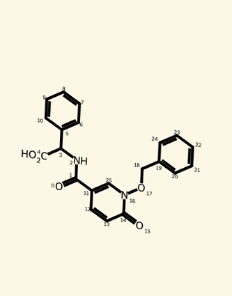 O=C(NC(C(=O)O)c1ccccc1)c1ccc(=O)n(OCc2ccccc2)c1